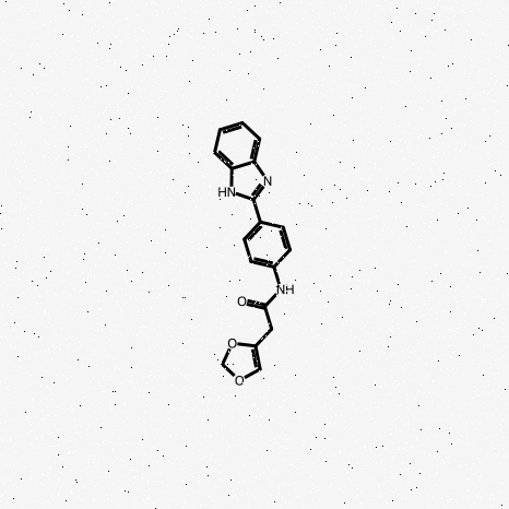 O=C(CC1=COCO1)Nc1ccc(-c2nc3ccccc3[nH]2)cc1